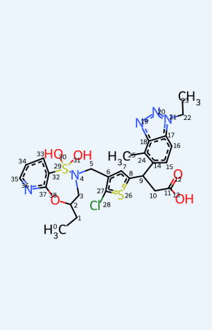 CCC1CN(Cc2cc(C(CC(=O)O)c3ccc4c(nnn4CC)c3C)sc2Cl)S(O)(O)c2cccnc2O1